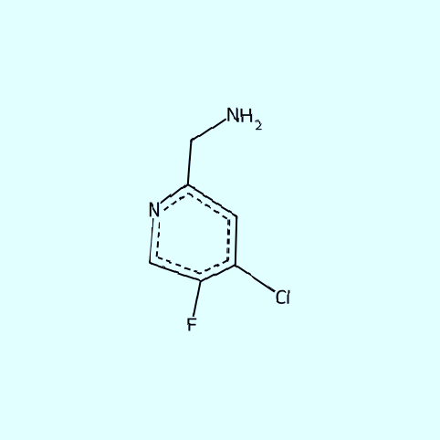 NCc1cc(Cl)c(F)cn1